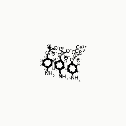 Nc1ccc(OP(=O)([O-])[O-])cc1.Nc1ccc(OP(=O)([O-])[O-])cc1.Nc1ccc(OP(=O)([O-])[O-])cc1.[Ce+3].[Ce+3]